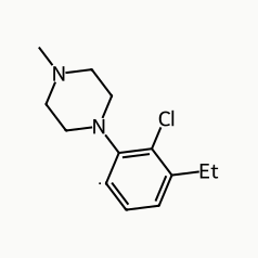 CCc1cc[c]c(N2CCN(C)CC2)c1Cl